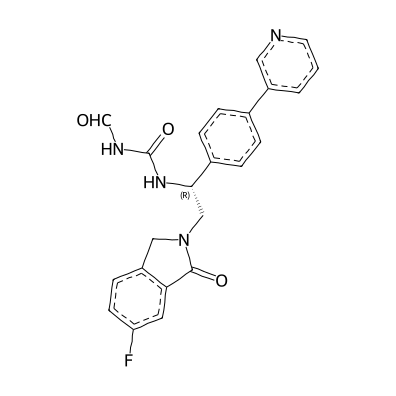 O=CNC(=O)N[C@@H](CN1Cc2ccc(F)cc2C1=O)c1ccc(-c2cccnc2)cc1